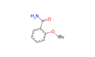 CC(C)(C)Oc1ccccc1C(N)=O